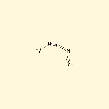 C#CN=C=NC